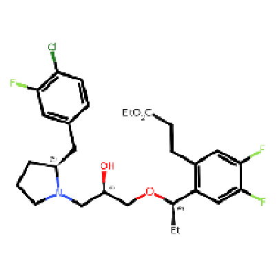 CCOC(=O)CCc1cc(F)c(F)cc1[C@@H](CC)OC[C@H](O)CN1CCC[C@H]1Cc1ccc(Cl)c(F)c1